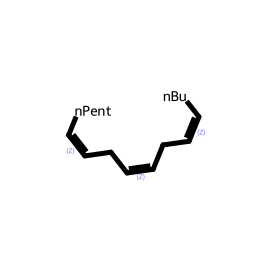 [CH2]CCC/C=C\C/C=C\C/C=C\CCCCC